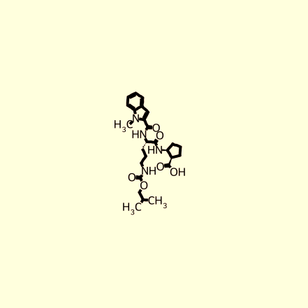 CC(C)COC(=O)NCCC[C@H](NC(=O)c1cc2ccccc2n1C)C(=O)N[C@H]1CCC[C@H]1C(=O)O